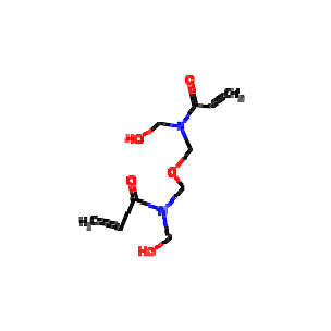 C=CC(=O)N(CO)COCN(CO)C(=O)C=C